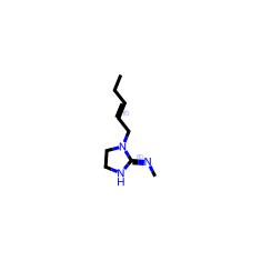 CC/C=C/CN1CCN/C1=N\C